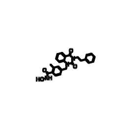 Cc1cc(Cn2c(=O)n(CCc3ccccc3)c(=O)c3ccccc32)ccc1C(=O)NO